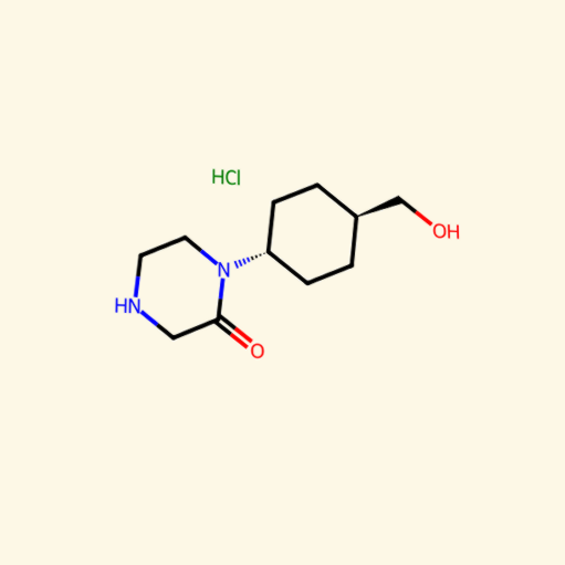 Cl.O=C1CNCCN1[C@H]1CC[C@H](CO)CC1